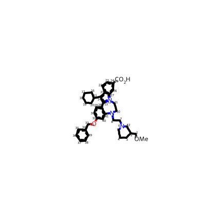 COCC1CCCN(CCN2CCn3c(c(C4CCCCC4)c4ccc(C(=O)O)cc43)-c3ccc(OCc4ccccc4)cc32)C1